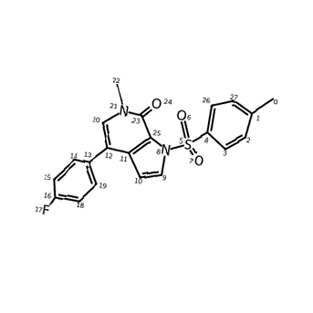 Cc1ccc(S(=O)(=O)n2ccc3c(-c4ccc(F)cc4)cn(C)c(=O)c32)cc1